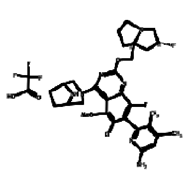 COc1c(Cl)c(-c2nc(N)cc(C)c2C(F)(F)F)c(F)c2nc(OC[C@@]34CCCN3C[C@H](F)C4)nc(N3CC4CCC(C3)N4)c12.O=C(O)C(F)(F)F